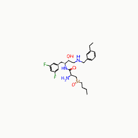 CCCC[S+]([O-])C[C@@H](N)C(=O)N[C@@H](Cc1cc(F)cc(F)c1)[C@H](O)CNCc1cccc(CC)c1